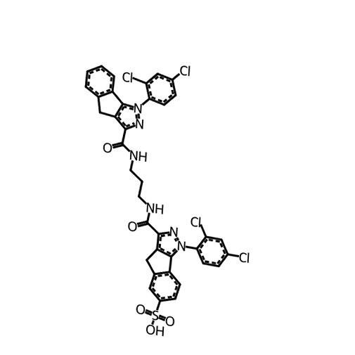 O=C(NCCCNC(=O)c1nn(-c2ccc(Cl)cc2Cl)c2c1Cc1cc(S(=O)(=O)O)ccc1-2)c1nn(-c2ccc(Cl)cc2Cl)c2c1Cc1ccccc1-2